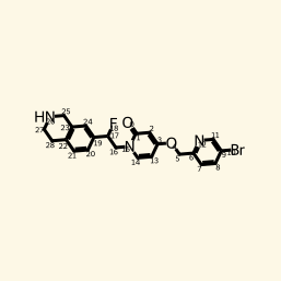 O=c1cc(OCc2ccc(Br)cn2)ccn1CC(F)c1ccc2c(c1)CNCC2